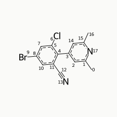 Cc1cc(-c2c(Cl)cc(Br)cc2C#N)cc(C)n1